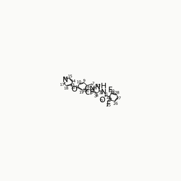 O=C(Nc1ccn(Cc2ccc(Oc3ccncc3)cc2C(F)(F)F)n1)c1c(F)cccc1F